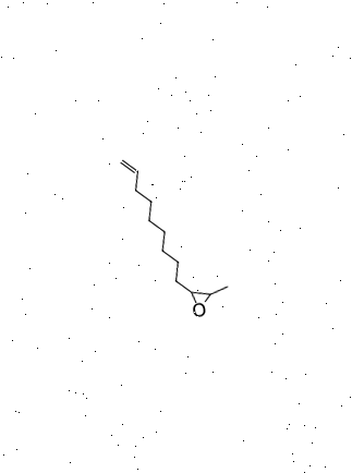 C=CCCCCCCCC1OC1C